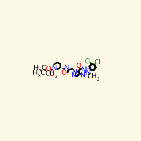 CN(c1ccc(Cl)c(Cl)c1)c1nc2cnn(Cc3coc([C@H]4CCCN(C(=O)OC(C)(C)C)C4)n3)c2c(=O)[nH]1